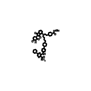 CC(C)(C)OC(=O)N1CCC(CCN(CCCCN2CCC(c3ccc(Nc4nc(N5CCCCC5)cnc4C(N)=O)cc3)CC2)c2cccc3c2C(=O)N(C2CCC(=O)NC2=O)C3=O)CC1